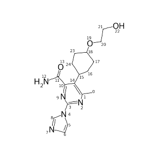 Cc1nc(-n2ccnc2)nc(C(N)=O)c1C1CCC(OCCO)CC1